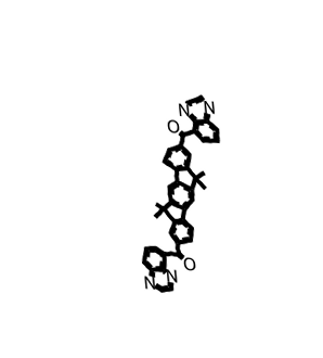 CC1(C)c2cc(C(=O)c3cccc4nccnc34)ccc2-c2cc3c(cc21)-c1ccc(C(=O)c2cccc4nccnc24)cc1C3(C)C